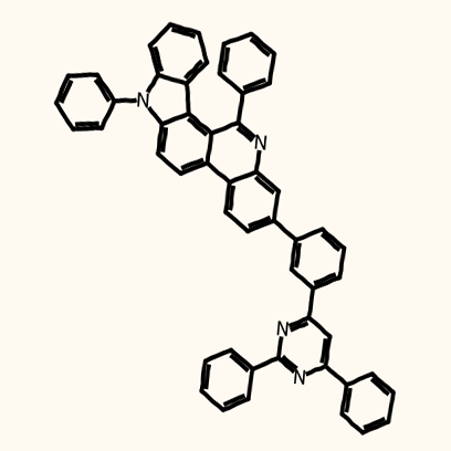 c1ccc(-c2cc(-c3cccc(-c4ccc5c(c4)nc(-c4ccccc4)c4c5ccc5c4c4ccccc4n5-c4ccccc4)c3)nc(-c3ccccc3)n2)cc1